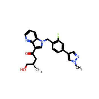 C[C@@H](CO)CC(=O)c1cn(Cc2ccc(-c3cnn(C)c3)cc2F)c2cccnc12